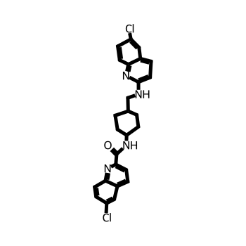 O=C(NC1CCC(CNc2ccc3cc(Cl)ccc3n2)CC1)c1ccc2cc(Cl)ccc2n1